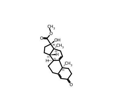 COC(=O)[C@@]1(O)CC[C@H]2[C@@H]3CCC4=CC(=O)CC[C@]4(C)C3=CC[C@@]21C